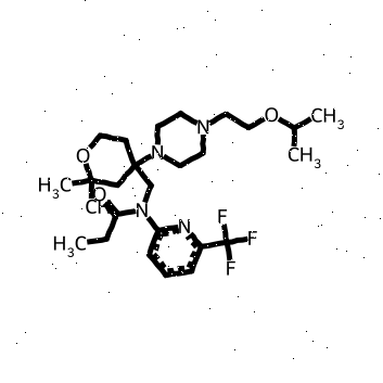 CCC(=O)N(CC1(N2CCN(CCOC(C)C)CC2)CCOC(C)(C)C1)c1cccc(C(F)(F)F)n1